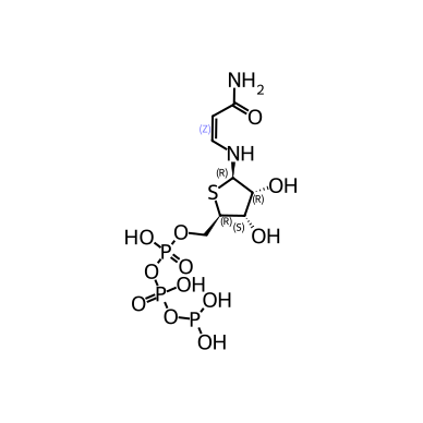 NC(=O)/C=C\N[C@@H]1S[C@H](COP(=O)(O)OP(=O)(O)OP(O)O)[C@@H](O)[C@H]1O